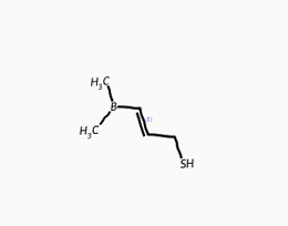 CB(C)/C=C/CS